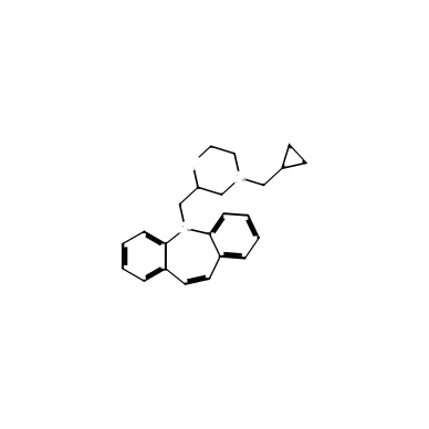 C1=Cc2ccccc2N(CC2CN(CC3CC3)CCO2)c2ccccc21